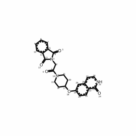 O=C(CN1C(=O)c2ccccc2C1=O)N1CCC(Oc2ccc3c(=O)[nH]ccc3c2)CC1